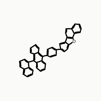 c1ccc2c(-c3c4ccccc4c(-c4ccc(-c5ccc6oc7c8ccccc8ccc7c6c5)cc4)c4ccccc34)cccc2c1